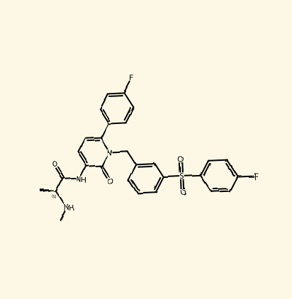 CN[C@@H](C)C(=O)Nc1ccc(-c2ccc(F)cc2)n(Cc2cccc(S(=O)(=O)c3ccc(F)cc3)c2)c1=O